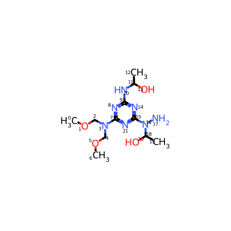 COCN(COC)c1nc(NC(C)O)nc(N(N)C(C)O)n1